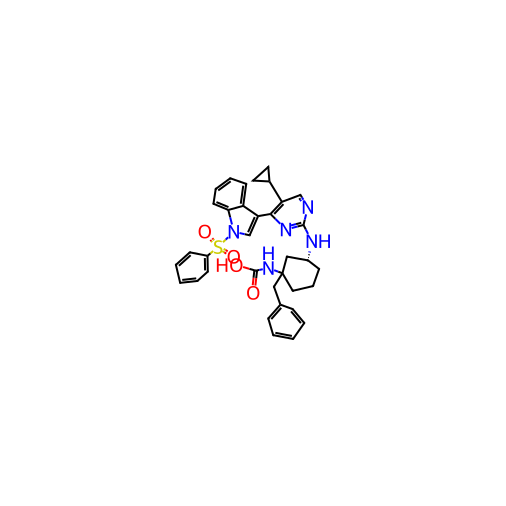 O=C(O)NC1(Cc2ccccc2)CCC[C@@H](Nc2ncc(C3CC3)c(-c3cn(S(=O)(=O)c4ccccc4)c4ccccc34)n2)C1